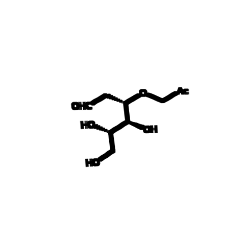 CC(=O)CO[C@@H](CC=O)[C@@H](O)[C@@H](O)CO